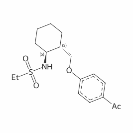 CCS(=O)(=O)N[C@H]1CCCC[C@@H]1COc1ccc(C(C)=O)cc1